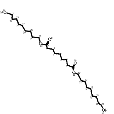 O=C(CCCCCCCC(=O)OCCCCCCCCCO)OCCCCCCCCCO